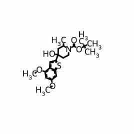 COc1cc(OC)c2cc(C3(O)CCN(C(=O)OC(C)(C)C)C(C)C3)sc2c1